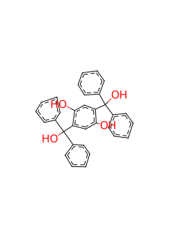 Oc1cc(C(O)(c2ccccc2)c2ccccc2)c(O)cc1C(O)(c1ccccc1)c1ccccc1